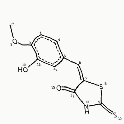 COc1ccc(C=C2SC(=S)NC2=O)cc1O